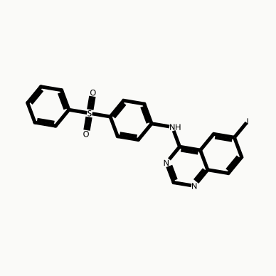 O=S(=O)(c1ccccc1)c1ccc(Nc2ncnc3ccc(I)cc23)cc1